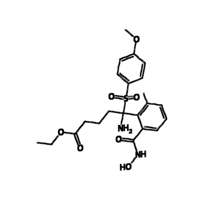 CCOC(=O)CCCC(N)(c1c(C)cccc1C(=O)NO)S(=O)(=O)c1ccc(OC)cc1